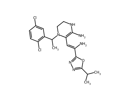 CC(C)c1nnc(/C(N)=C/C2=C(N)NCCN2C(C)c2cc(Cl)ccc2Cl)o1